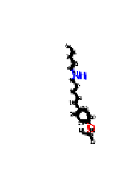 [CH2]CCCCNCCCCCc1ccc(OC(C)C)cc1